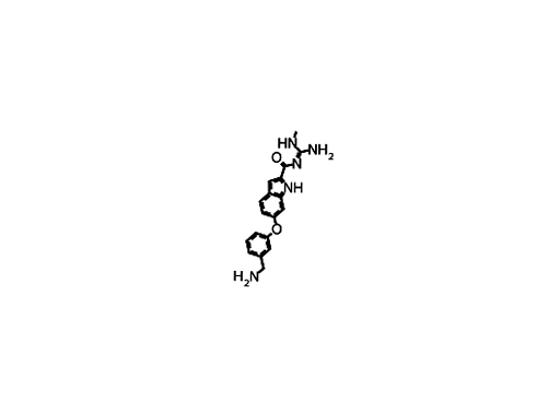 CNC(N)=NC(=O)c1cc2ccc(Oc3cccc(CN)c3)cc2[nH]1